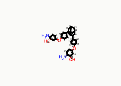 Nc1ccc(Oc2ccc(C34CC5CC(C3)CC(c3ccc(Oc6ccc(N)c(O)c6)cc3)(C5)C4)cc2)cc1O